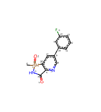 C[SH]1(=O)NC(=O)c2ncc(-c3cccc(F)c3)cc21